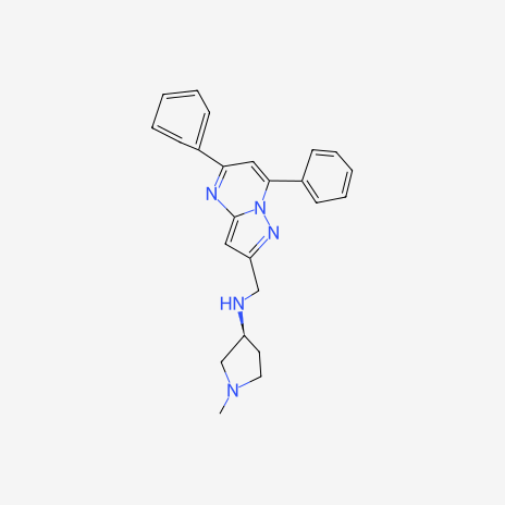 CN1CC[C@H](NCc2cc3nc(-c4ccccc4)cc(-c4ccccc4)n3n2)C1